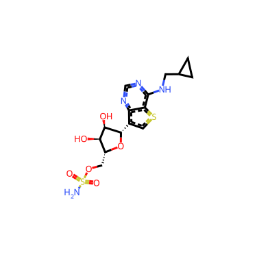 NS(=O)(=O)OC[C@H]1O[C@@H](c2csc3c(NCC4CC4)ncnc23)[C@H](O)[C@@H]1O